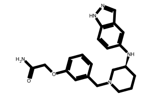 NC(=O)COc1cccc(CN2CCC[C@H](Nc3ccc4[nH]ncc4c3)C2)c1